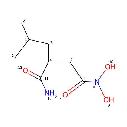 CC(C)CC(CC(=O)N(O)O)C(N)=O